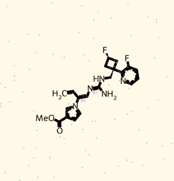 C=C/C(=C\N=C(/N)NC[C@]1(c2ncccc2F)C[C@H](F)C1)n1ccc(C(=O)OC)c1